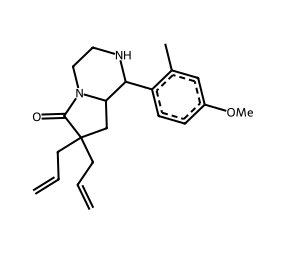 C=CCC1(CC=C)CC2C(c3ccc(OC)cc3C)NCCN2C1=O